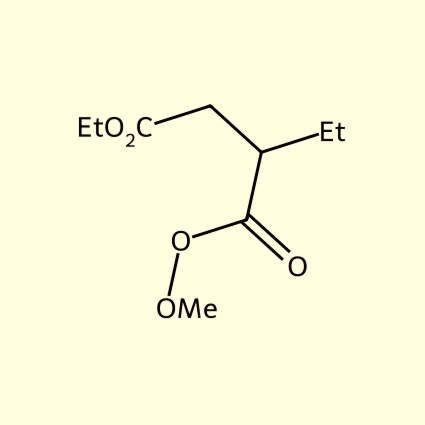 CCOC(=O)CC(CC)C(=O)OOC